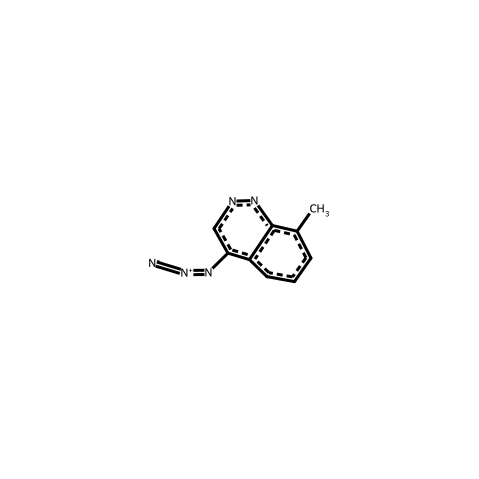 Cc1cccc2c(N=[N+]=[N-])cnnc12